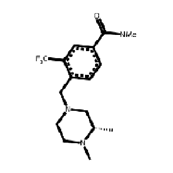 CNC(=O)c1ccc(CN2CCN(C)[C@@H](C)C2)c(C(F)(F)F)c1